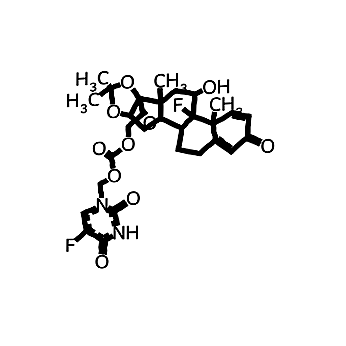 CC1(C)OC2CC3C4CCC5=CC(=O)C=CC5(C)C4(F)C(O)CC3(C)C2(C(=O)COC(=O)OCn2cc(F)c(=O)[nH]c2=O)O1